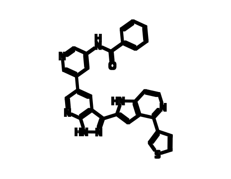 O=C(Nc1cncc(-c2cnc3[nH]nc(-c4cc5c(-c6ccsc6)nccc5[nH]4)c3c2)c1)c1ccccc1